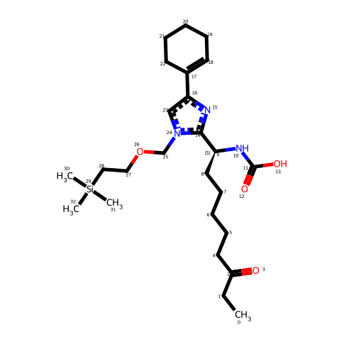 CCC(=O)CCCCC[C@H](NC(=O)O)c1nc(C2=CCCCC2)cn1COCC[Si](C)(C)C